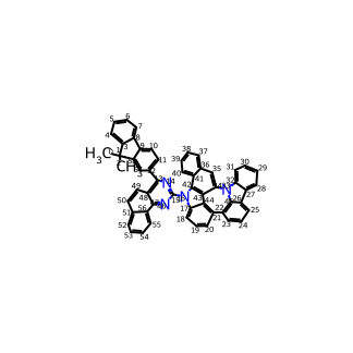 CC1(C)c2ccccc2-c2ccc(-c3nc(-n4c5cccc6c7cccc8c9ccccc9n(c9cc%10ccccc%10c4c9c65)c78)nc4c3ccc3ccccc34)cc21